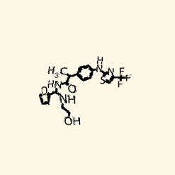 CC(C(=O)NC(NCCO)c1ccco1)c1ccc(Nc2nc(C(F)(F)F)cs2)cc1